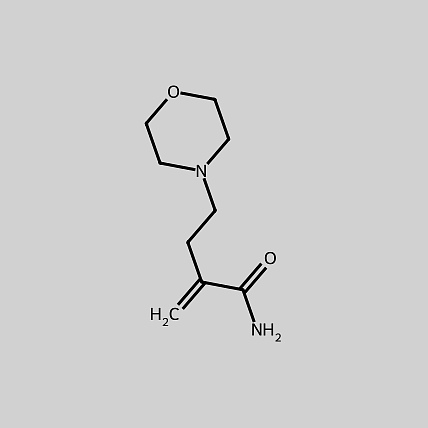 C=C(CCN1CCOCC1)C(N)=O